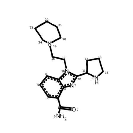 NC(=O)c1cccc2c1nc(C1CCCN1)n2CCN1CCCCC1